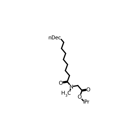 CCCCCCCCCCCCCCCCCC(=O)N(C)CC(=O)OC(C)C